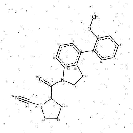 COc1ccccc1-c1cccc2c1CCN2C(=O)C1CCCN1C#N